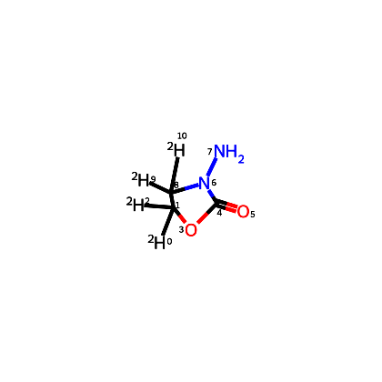 [2H]C1([2H])OC(=O)N(N)C1([2H])[2H]